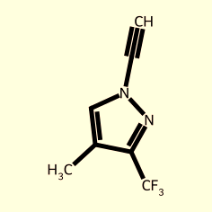 C#Cn1cc(C)c(C(F)(F)F)n1